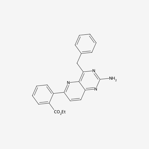 CCOC(=O)c1ccccc1-c1ccc2nc(N)nc(Cc3ccccc3)c2n1